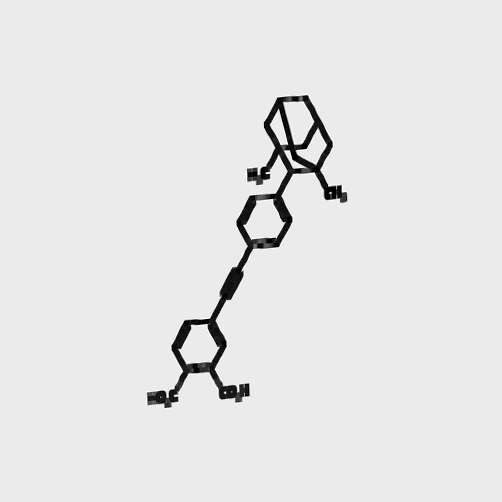 CC12CC3CC(C1)CC(C)(C3)C2c1ccc(C#Cc2ccc(C(=O)O)c(C(=O)O)c2)cc1